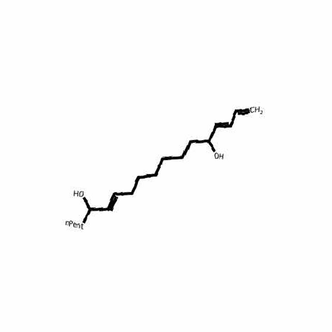 C=C/C=C/C(O)CCCCCC/C=C/C(O)CCCCC